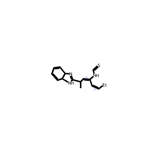 CC/C=C\C(=C/C(C)C1=NC2C=CC=CC2N1)NC=S